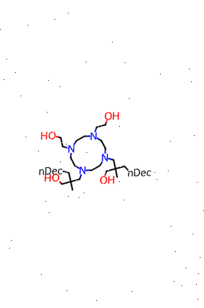 CCCCCCCCCCCC(C)(CO)CN1CCN(CCO)CCN(CCO)CCN(CC(C)(CO)CCCCCCCCCCC)CC1